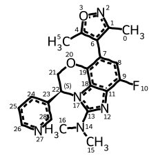 Cc1noc(C)c1-c1cc(F)c2nc(N(C)C)n3c2c1OC[C@@H]3c1cccnc1